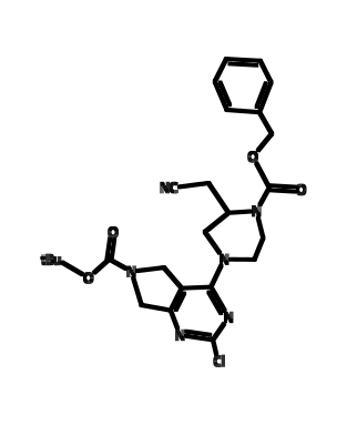 CC(C)(C)OC(=O)N1Cc2nc(Cl)nc(N3CCN(C(=O)OCc4ccccc4)C(CC#N)C3)c2C1